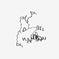 CCCCCCCCC(CCCCCC)COCC(CCCCCC)CCCCCCCC.CCCCCCCCN.O=P(O)(O)O